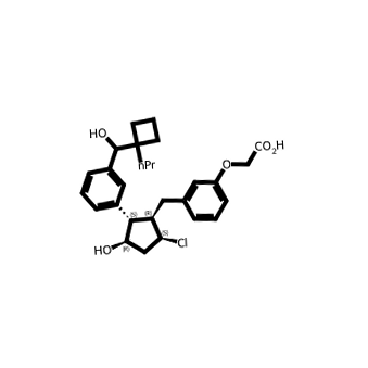 CCCC1(C(O)c2cccc([C@@H]3[C@@H](Cc4cccc(OCC(=O)O)c4)[C@@H](Cl)C[C@H]3O)c2)CCC1